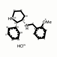 COc1ccccc1CN[C@H]1CCCN[C@H]1c1ccccc1.Cl